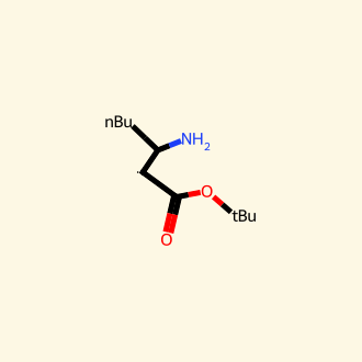 CCCCC(N)[CH]C(=O)OC(C)(C)C